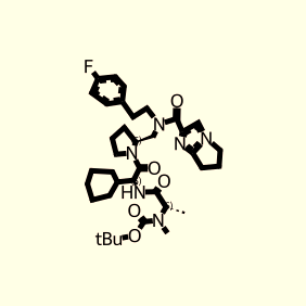 C[C@@H](C(=O)N[C@H](C(=O)N1CCC[C@H]1CN(CCc1ccc(F)cc1)C(=O)c1cn2c(n1)CCC2)C1CCCCC1)N(C)C(=O)OC(C)(C)C